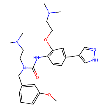 COc1cccc(CN(CCN(C)C)C(=O)Nc2ccc(-c3cn[nH]c3)cc2OCCN(C)C)c1